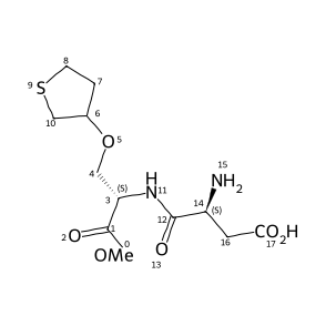 COC(=O)[C@H](COC1CCSC1)NC(=O)[C@@H](N)CC(=O)O